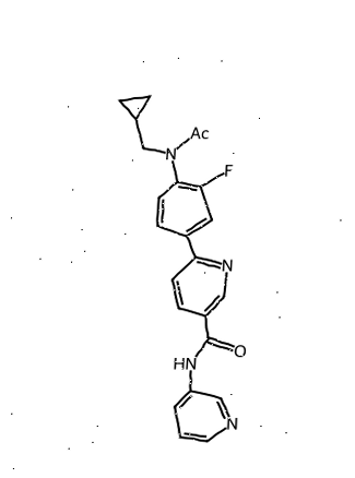 CC(=O)N(CC1CC1)c1ccc(-c2ccc(C(=O)Nc3cccnc3)cn2)cc1F